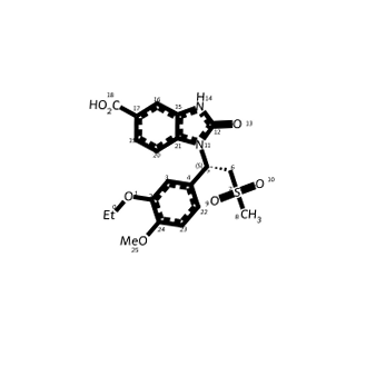 CCOc1cc([C@@H](CS(C)(=O)=O)n2c(=O)[nH]c3cc(C(=O)O)ccc32)ccc1OC